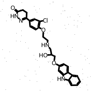 O=C1CCC(c2ccc(OCCNCC(O)COc3ccc4c(c3)[nH]c3ccccc34)c(Cl)c2)=NN1